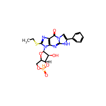 CCSc1nc2c(=O)n3cc(-c4ccccc4)[nH]c3nc2n1[C@@H]1OC2CO[PH](=O)O[C@H]2[C@@H]1O